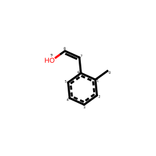 Cc1ccccc1/C=C\O